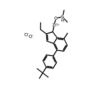 CCC1=Cc2c(-c3ccc(C(C)(C)C)cc3)ccc(C)c2[CH]1[Zr+2][O][SiH](C)C.[Cl-].[Cl-]